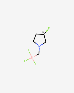 F[C@@H]1CCN(C[B-](F)(F)F)C1